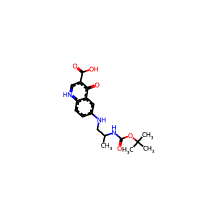 CC(CNc1ccc2[nH]cc(C(=O)O)c(=O)c2c1)NC(=O)OC(C)(C)C